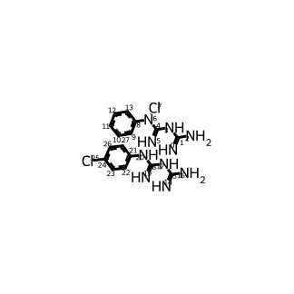 N=C(N)NC(=N)N(Cl)c1ccccc1.N=C(N)NC(=N)Nc1ccc(Cl)cc1